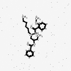 CCCCCCN(CC(CC)OC(=O)c1ccccc1)NC(=O)c1ccccc1OC